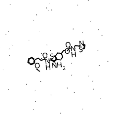 CCOc1ccccc1CCC(=O)Nc1sc2c(c1N)CCC(COC(=O)NCc1nccs1)C2